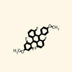 COc1ccc(-c2c3c(F)cccc3c(-c3c(F)cc(OC)cc3F)c3c(F)ccc(F)c23)cc1